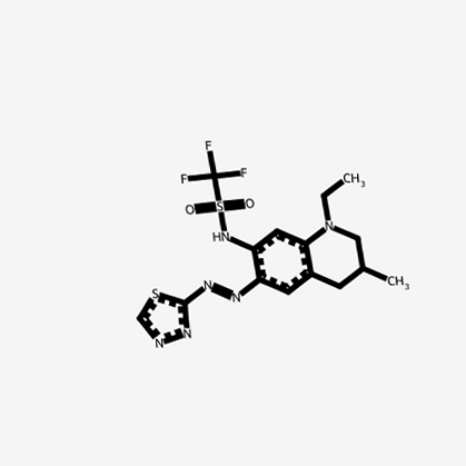 CCN1CC(C)Cc2cc(N=Nc3nncs3)c(NS(=O)(=O)C(F)(F)F)cc21